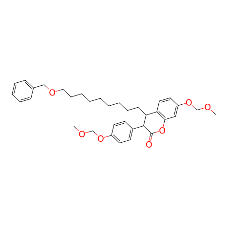 COCOc1ccc(C2C(=O)Oc3cc(OCOC)ccc3C2CCCCCCCCCOCc2ccccc2)cc1